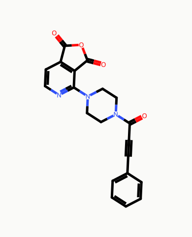 O=C1OC(=O)c2c1ccnc2N1CCN(C(=O)C#Cc2ccccc2)CC1